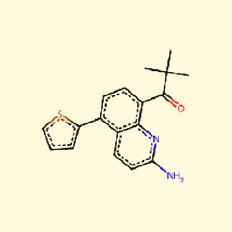 CC(C)(C)C(=O)c1ccc(-c2cccs2)c2ccc(N)nc12